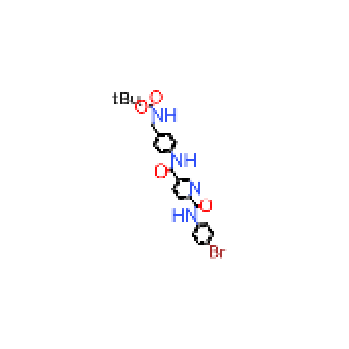 CC(C)(C)OC(=O)NCc1ccc(NC(=O)c2ccc(C(=O)Nc3ccc(Br)cc3)nc2)cc1